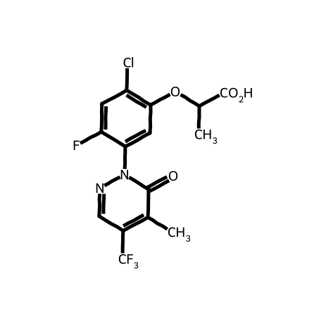 Cc1c(C(F)(F)F)cnn(-c2cc(OC(C)C(=O)O)c(Cl)cc2F)c1=O